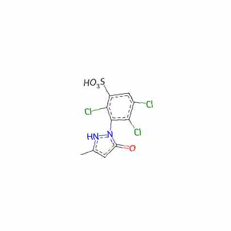 Cc1cc(=O)n(-c2c(Cl)c(Cl)cc(S(=O)(=O)O)c2Cl)[nH]1